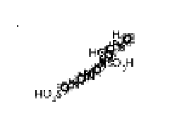 O=C(Nc1ccc2c(O)c(N=Nc3ccc(N=Nc4ccc(N=Nc5ccc(S(=O)(=O)O)cc5)cc4)cc3)c(S(=O)(=O)O)cc2c1)c1ccccc1